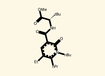 CCCCn1c(CCC)c(CC)cc(C(=O)N[C@H](C(=O)OC)C(C)(C)C)c1=O